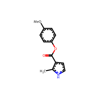 COc1ccc(OC(=O)c2cc[nH]c2C)cc1